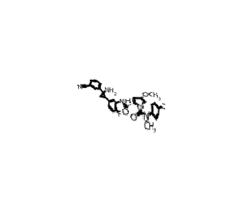 CO[C@@H]1C[C@@H](C(=O)Nc2cc(C3CC3(N)c3cccc(C#N)c3)ccc2F)N(C(=O)N(C)c2ccc(Cl)cc2)C1